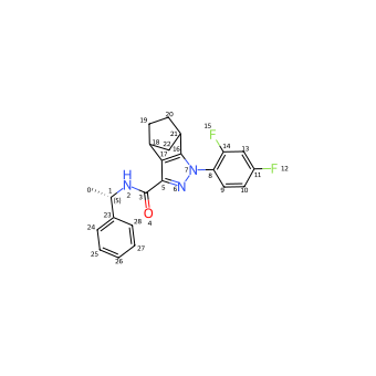 C[C@H](NC(=O)c1nn(-c2ccc(F)cc2F)c2c1C1CCC2C1)c1ccccc1